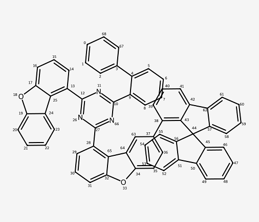 c1ccc(-c2ccccc2-c2nc(-c3cccc4oc5ccccc5c34)nc(-c3cccc4oc5ccc(-c6cccc7c6C6(c8ccccc8-c8ccccc86)c6ccccc6-7)cc5c34)n2)cc1